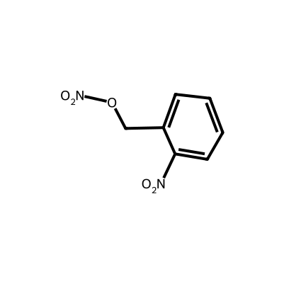 O=[N+]([O-])OCc1ccccc1[N+](=O)[O-]